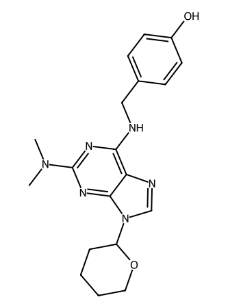 CN(C)c1nc(NCc2ccc(O)cc2)c2ncn(C3CCCCO3)c2n1